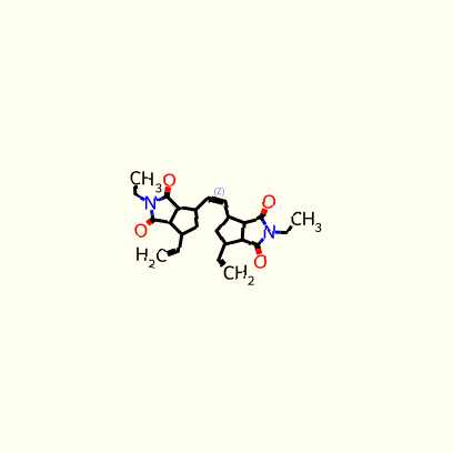 C=CC1CC(/C=C\C2CC(C=C)C3C(=O)N(CC)C(=O)C23)C2C(=O)N(CC)C(=O)C12